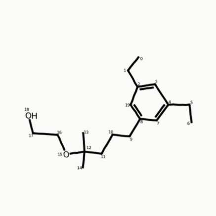 CCc1cc(CC)cc(CCCC(C)(C)OCCO)c1